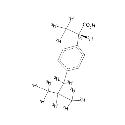 [2H]C([2H])([2H])C([2H])(C([2H])([2H])[2H])C([2H])([2H])c1ccc([C@@]([2H])(C(=O)O)C([2H])([2H])[2H])cc1